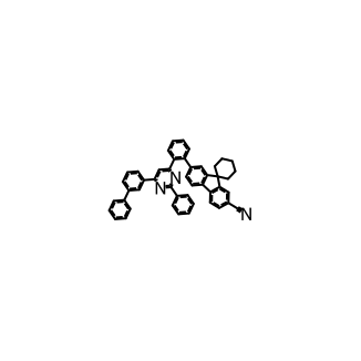 N#Cc1ccc2c(c1)C1(CCCCC1)c1cc(-c3ccccc3-c3cc(-c4cccc(-c5ccccc5)c4)nc(-c4ccccc4)n3)ccc1-2